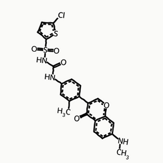 CNc1ccc2c(=O)c(-c3ccc(NC(=O)NS(=O)(=O)c4ccc(Cl)s4)cc3C)coc2c1